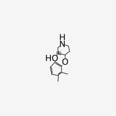 Cc1cccc(OC2CCNC[C@H]2O)c1C